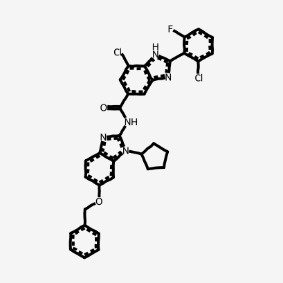 O=C(Nc1nc2ccc(OCc3ccccc3)cc2n1C1CCCC1)c1cc(Cl)c2[nH]c(-c3c(F)cccc3Cl)nc2c1